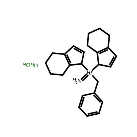 Cl.Cl.[SiH2]=[Hf]([CH2]c1ccccc1)([CH]1C=CC2=C1CCCC2)[CH]1C=CC2=C1CCCC2